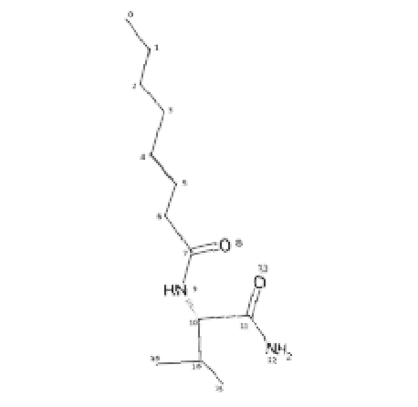 CCCCCCCC(=O)N[C@H](C(N)=O)C(C)C